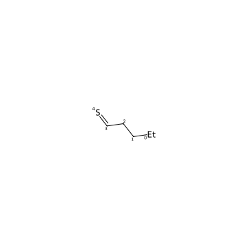 CCCCC=S